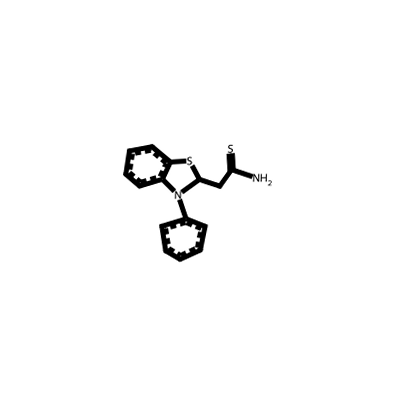 NC(=S)CC1Sc2ccccc2N1c1ccccc1